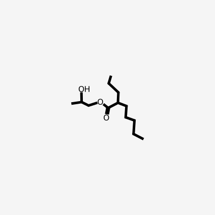 CCCCCC(CCC)C(=O)OCC(C)O